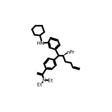 C=CCC[C@H](CCC)C(c1ccc(C(=C)N(CC)CC)cc1)c1cccc(NC2CCCCC2)c1